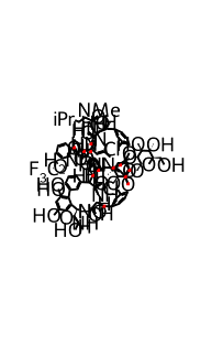 CN[C@H](CC(C)C)C(=O)N[C@H]1C(=O)N[C@@H](CC(N)=O)C(=O)N[C@H]2C(=O)N[C@H]3C(=O)N[C@H](C(=O)N[C@@H](C(=O)NO)c4cc(O)cc(O)c4-c4cc3ccc4O)[C@H](O)c3ccc(c(Cl)c3)Oc3cc2cc(c3O[C@@H]2O[C@H](CO)[C@@H](O)[C@H](O)[C@H]2O[C@H]2C[C@](C)(NCc3cncc(C(=O)Nc4cccc(OC(F)(F)F)c4)c3)[C@H](O)[C@H](C)O2)Oc2ccc(cc2Cl)[C@H]1O